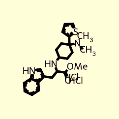 COC(=O)C(Cc1c[nH]c2ccccc12)NC1CCC(c2cccs2)(N(C)C)CC1.Cl.Cl